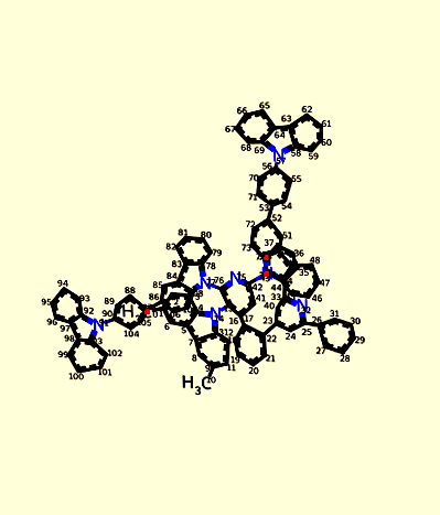 Cc1ccc2c(c1)c1cc(C)ccc1n2-c1c(-c2ccccc2-c2cc(-c3ccccc3)nc(-c3ccccc3)c2)cc(-n2c3ccccc3c3cc(-c4ccc(-n5c6ccccc6c6ccccc65)cc4)ccc32)nc1-n1c2ccccc2c2cc(-c3ccc(-n4c5ccccc5c5ccccc54)cc3)ccc21